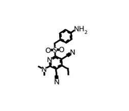 CCc1c(C#N)c(N(C)C)nc(S(=O)(=O)Cc2ccc(N)cc2)c1C#N